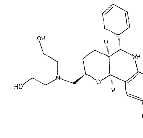 OCCN(CCO)C[C@H]1CC[C@@H]2[C@H](O1)c1cc(C(F)(F)F)ccc1N[C@H]2C1C=CC=CC1